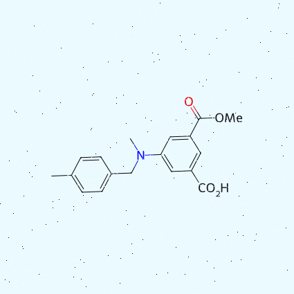 COC(=O)c1cc(C(=O)O)cc(N(C)Cc2ccc(C)cc2)c1